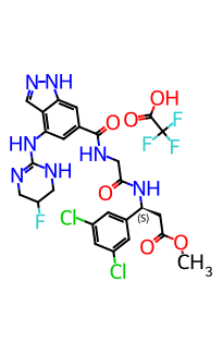 COC(=O)C[C@H](NC(=O)CNC(=O)c1cc(NC2=NCC(F)CN2)c2cn[nH]c2c1)c1cc(Cl)cc(Cl)c1.O=C(O)C(F)(F)F